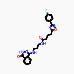 O=C(CCCc1nc(-c2ccc(F)cc2)no1)NCCCNc1n[nH]c(=O)c2ccccc12